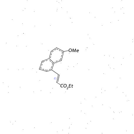 CCOC(=O)/C=C/c1cccc2ccc(OC)cc12